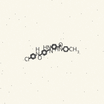 CC1CCC(NC(=O)c2ccc3[nH]c(-c4ccc(C(=O)Nc5ccc(Cl)cc5)cc4)nc3c2)CC1